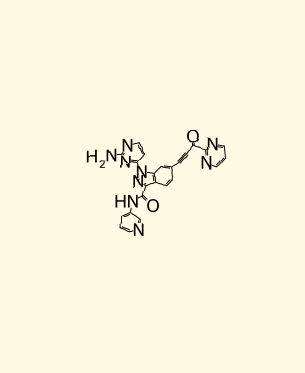 Nc1nccc(-n2nc(C(=O)Nc3cccnc3)c3ccc(C#CC(=O)c4ncccn4)cc32)n1